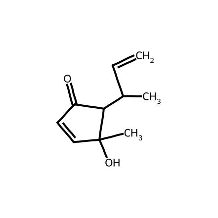 C=CC(C)C1C(=O)C=CC1(C)O